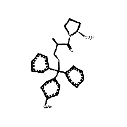 COc1ccc(C(SCC(C)C(=O)N2CCC[C@H]2C(=O)O)(c2ccccc2)c2ccccc2)cc1